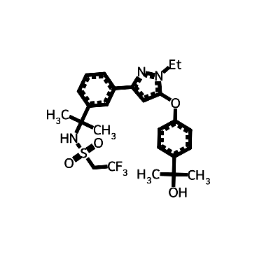 CCn1nc(-c2cccc(C(C)(C)NS(=O)(=O)CC(F)(F)F)c2)cc1Oc1ccc(C(C)(C)O)cc1